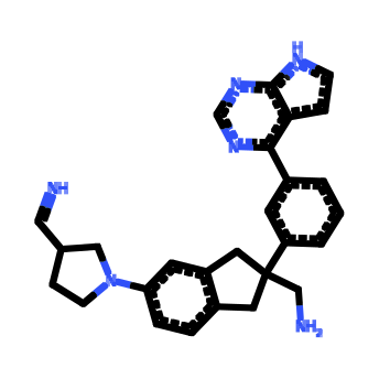 N=CC1CCN(c2ccc3c(c2)CC(CN)(c2cccc(-c4ncnc5[nH]ccc45)c2)C3)C1